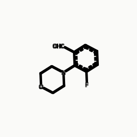 O=Cc1cccc(F)c1N1CCOCC1